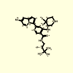 CC(C)(O)[C@H](F)CNC(=O)c1cnc(-c2ccc3cc(C#N)cnn23)cc1N[C@@H]1CNCCC1(F)F